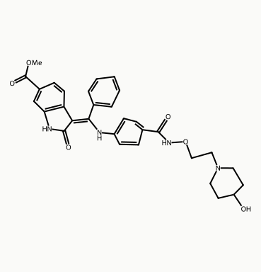 COC(=O)c1ccc2c(c1)NC(=O)/C2=C(\Nc1ccc(C(=O)NOCCN2CCC(O)CC2)cc1)c1ccccc1